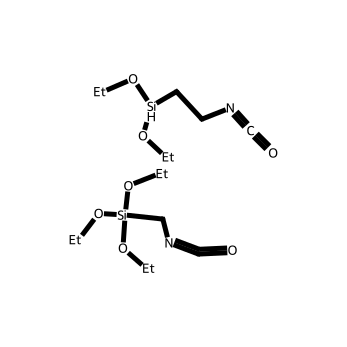 CCO[SiH](CCN=C=O)OCC.CCO[Si](CN=C=O)(OCC)OCC